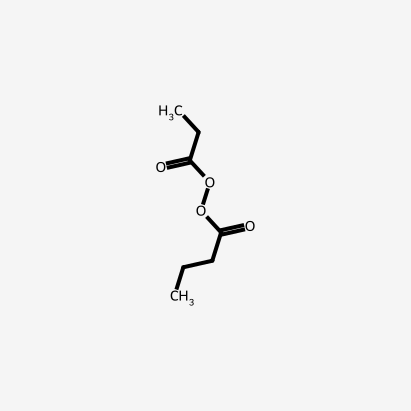 CCCC(=O)OOC(=O)CC